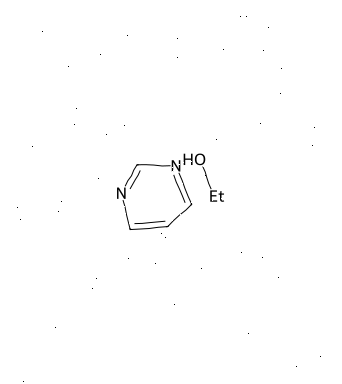 CCO.c1cncnc1